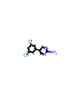 Nc1ncc(-c2cc(Cl)cc(Cl)c2)cn1